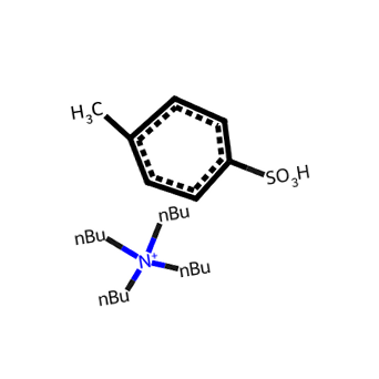 CCCC[N+](CCCC)(CCCC)CCCC.Cc1ccc(S(=O)(=O)O)cc1